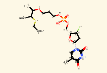 CCCCCCCCCCCSC(CCCCCCCC)C(C)OCCCOP(=O)(O)OC[C@H]1O[C@@H](n2cc(C)c(=O)[nH]c2=O)C[C@@H]1F